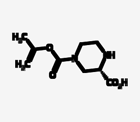 C=C(C)OC(=O)N1CCN[C@H](C(=O)O)C1